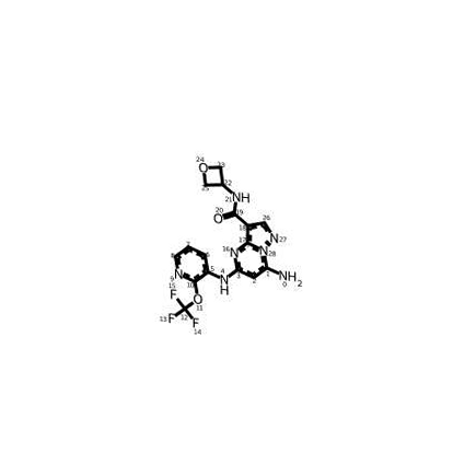 Nc1cc(Nc2cccnc2OC(F)(F)F)nc2c(C(=O)NC3COC3)cnn12